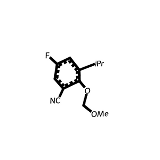 COCOc1c(C#N)cc(F)cc1C(C)C